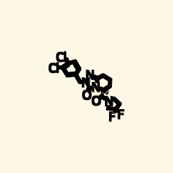 O=C([C@H]1CCCc2nn(Cc3ccc(Cl)c(Cl)c3)c(=O)n21)N1CCC(F)(F)C1